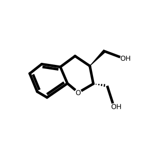 OC[C@@H]1Cc2ccccc2O[C@H]1CO